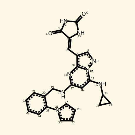 O=C1NC(=O)/C(=C/c2cnn3c(NC4CC4)cc(NCc4ccccc4-n4cccc4)nc23)N1